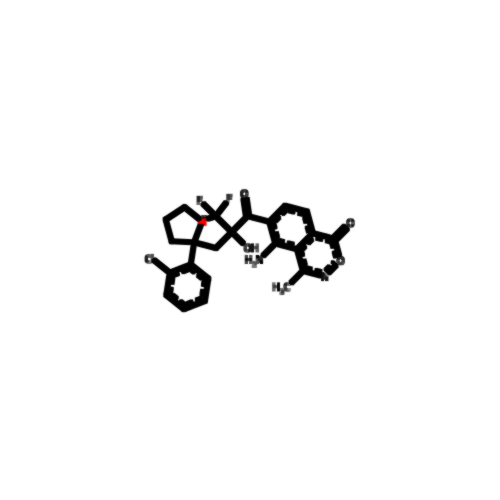 Cc1noc(=O)c2ccc(C(=O)C(O)(CC3(c4ccccc4Cl)CCCC3)C(F)(F)F)c(N)c12